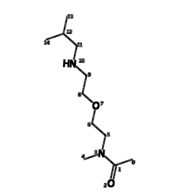 CC(=O)N(C)CCOCCNCC(C)C